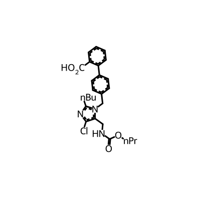 CCCCc1nc(Cl)c(CNC(=O)OCCC)n1Cc1ccc(-c2ccccc2C(=O)O)cc1